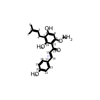 CC(C)=CCc1c(O)cc(ON)c(C(=O)/C=C/c2ccc(O)cc2)c1O